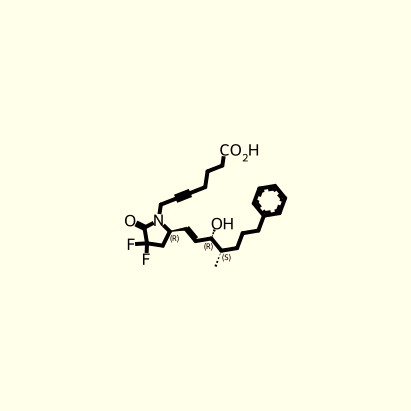 C[C@@H](CCCc1ccccc1)[C@@H](O)C=C[C@H]1CC(F)(F)C(=O)N1CC#CCCCC(=O)O